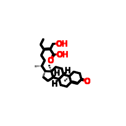 CCC(CC[C@@H](C)[C@H]1CC[C@H]2[C@@H]3CCC4=CC(=O)CC[C@]4(C)[C@H]3CC[C@]12C)=C(CO)C(=O)O